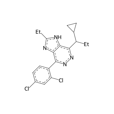 CCc1nc2c(-c3ccc(Cl)cc3Cl)nnc(C(CC)C3CC3)c2[nH]1